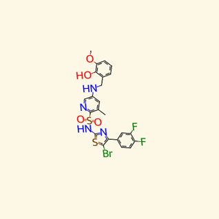 COc1cccc(CNc2cnc(S(=O)(=O)Nc3nc(-c4ccc(F)c(F)c4)c(Br)s3)c(C)c2)c1O